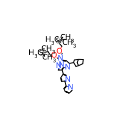 C[Si](C)(C)CCOCN(COCC[Si](C)(C)C)c1cc(C2CC3CCC(C3)C2)nc2c(-c3ccc(-c4ccccn4)nc3)cnn12